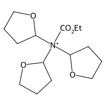 CCOC(=O)[N+](C1CCCO1)(C1CCCO1)C1CCCO1